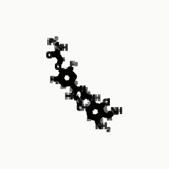 CC(C)NC(=O)COc1c(F)cc(C2N=C(Nc3ccc(N)c(C=N)c3Cl)N(C)N2)cc1F